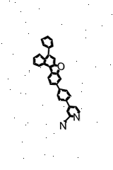 N#Cc1cc(-c2ccc(-c3ccc4c(c3)oc3cc(-c5ccccc5)c5ccccc5c34)cc2)ccn1